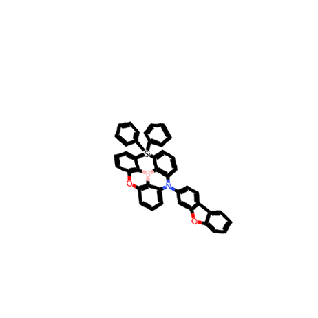 c1ccc([Si]2(c3ccccc3)c3cccc4c3B3c5c(cccc5N(c5ccc6c(c5)oc5ccccc56)c5cccc2c53)O4)cc1